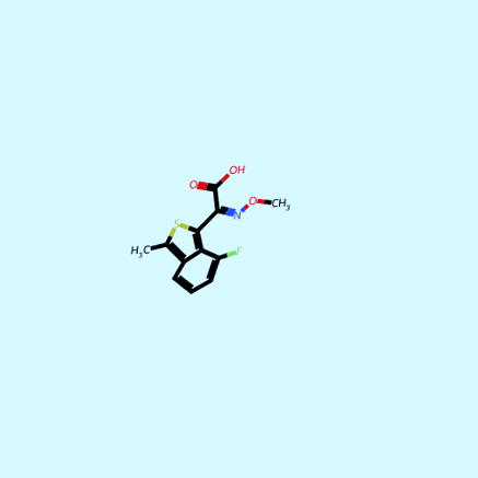 CON=C(C(=O)O)c1sc(C)c2cccc(F)c12